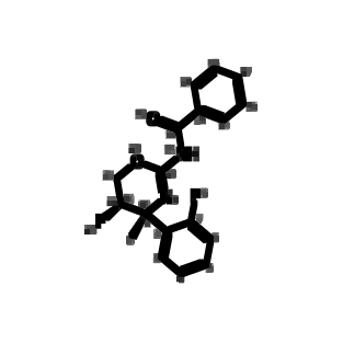 C[C@]1(c2ccccc2F)N=C(NC(=O)c2ccccc2)OC[C@@H]1F